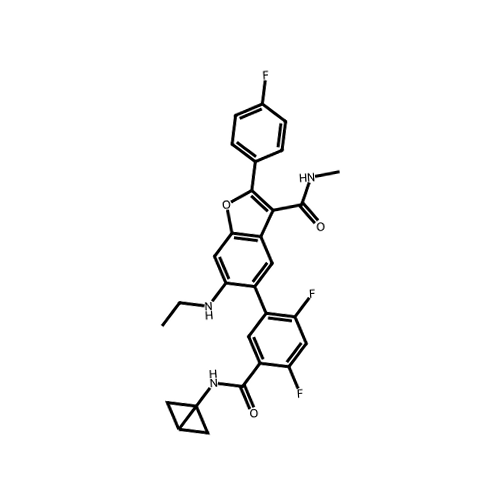 CCNc1cc2oc(-c3ccc(F)cc3)c(C(=O)NC)c2cc1-c1cc(C(=O)NC23CC2C3)c(F)cc1F